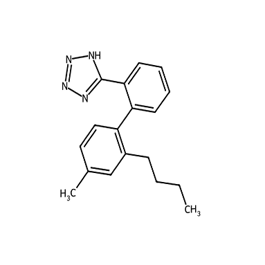 CCCCc1cc(C)ccc1-c1ccccc1-c1nnn[nH]1